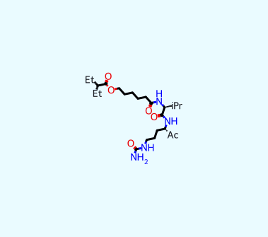 CCC(CC)C(=O)OCCCCCC(=O)N[C@H](C(=O)N[C@@H](CCCNC(N)=O)C(C)=O)C(C)C